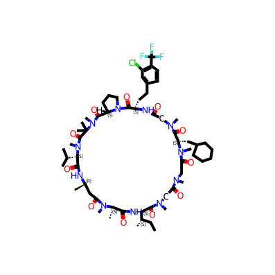 CC[C@H](C)[C@@H]1NC(=O)[C@H](C)N(C)C(=O)C[C@@H](C)NC(=O)[C@H](C(C)C)N(C)C(=O)C(C)(C)N(C)C(=O)[C@@H]2CCCN2C(=O)[C@H](CCc2ccc(C(F)(F)F)c(Cl)c2)NC(=O)CN(C)C(=O)[C@H](CC2CCCCC2)N(C)C(=O)CN(C)C(=O)CN(C)C1=O